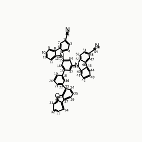 N#Cc1ccc2c(c1)c1ccccc1n2-c1cc(-c2cccc(-c3cccc4c3oc3ccccc34)c2)cc(-n2c3ccccc3c3cc(C#N)ccc32)c1